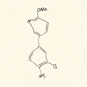 COc1ccc(-c2ccc(N)c(Cl)c2)cn1